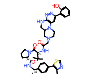 Cc1ncsc1-c1ccc([C@H](C)NC(=O)[C@@H]2CCCN2C(=O)[C@@H](NC(=O)CN2CCN3c4cc(-c5ccccc5O)nnc4NCC3C2)C(C)(C)C)cc1